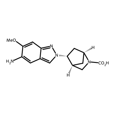 COc1cc2nn([C@@H]3C[C@@H]4C[C@H]3CN4C(=O)O)cc2cc1N